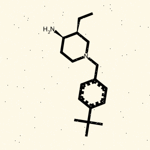 CC[C@H]1CN(Cc2ccc(C(C)(C)C)cc2)CC[C@H]1N